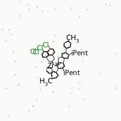 CCCC(C)c1cc2c(cc1-c1ccc(C)cc1)Cc1c-2cc(C(C)CCC)c(-c2ccc(C)cc2)[c]1[Zr+2]([C]1=CC=CC1)=[C](Cc1ccc(Cl)cc1)Cc1ccc(Cl)cc1.[Cl-].[Cl-]